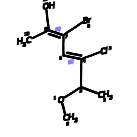 COC(C)/C(Cl)=C/C(Br)=C(\C)O